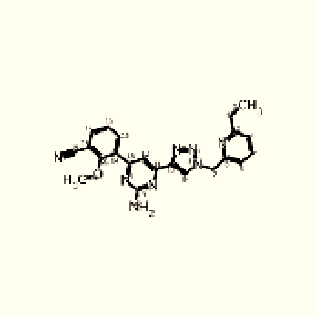 CCc1cccc(Cn2cc(-c3cc(-c4cccc(C#N)c4OC)nc(N)n3)nn2)n1